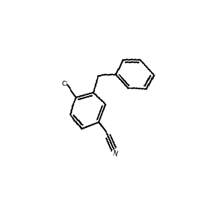 N#Cc1ccc(Cl)c(Cc2ccccc2)c1